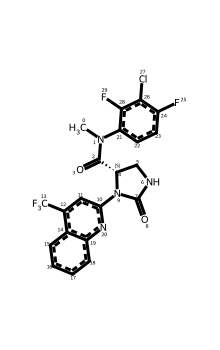 CN(C(=O)[C@@H]1CNC(=O)N1c1cc(C(F)(F)F)c2ccccc2n1)c1ccc(F)c(Cl)c1F